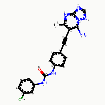 Cc1nc2ncnn2c(N)c1C#Cc1ccc(NC(=O)Nc2cccc(Cl)c2)cc1